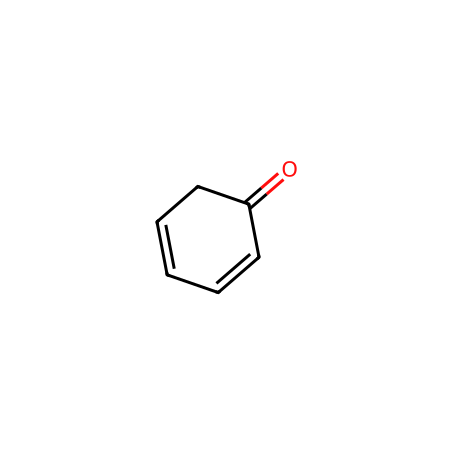 O=C1C=CC=CC1